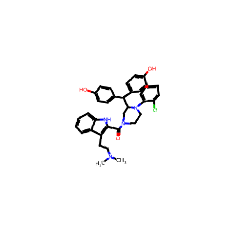 CN(C)CCc1c(C(=O)N2CCN(c3ccccc3Cl)C(C(c3ccc(O)cc3)c3ccc(O)cc3)C2)[nH]c2ccccc12